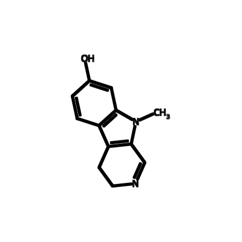 Cn1c2c(c3ccc(O)cc31)CCN=C2